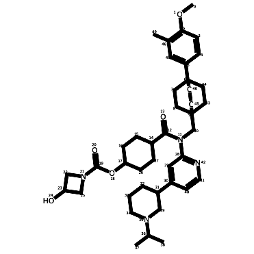 COc1ccc(C23CCC(CN(C(=O)C4CCC(OC(=O)N5CC(O)C5)CC4)c4cc(C5CCCN(C(C)C)C5)ccn4)(CC2)CC3)cc1C